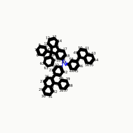 C1=CC(C2(c3ccccc3)c3ccccc3-c3ccc(N(c4ccc(-c5ccc6ccccc6c5-c5ccccc5)cc4)c4cccc(-c5cccc6ccccc56)c4)cc32)=CCC1